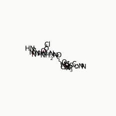 Cc1cc(-n2ccnc2)ccc1CSc1nnc(C(=O)N(C)CCCCCC(=O)N2CCN(CC[C@H](NC(=O)C3(N)CCN(c4ncnc5[nH]ccc45)CC3)c3ccc(Cl)cc3)CC2)s1